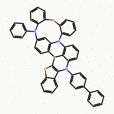 c1ccc(-c2ccc(N3c4cccc5c4B(c4ccc6cc4N5c4ccccc4Sc4ccccc4N6c4ccccc4)c4sc5ccccc5c43)cc2)cc1